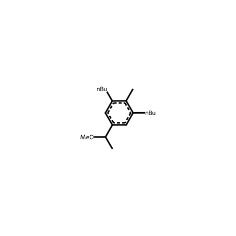 CCCCc1cc(C(C)OC)cc(CCCC)c1C